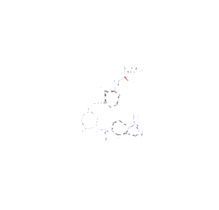 CNC(=O)Nc1cccc(CN2CCCC(Nc3ccc4[nH]ncc4c3)C2)c1